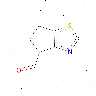 O=CC1CCc2scnc21